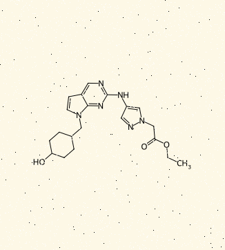 CCOC(=O)Cn1cc(Nc2ncc3ccn(CC4CCC(O)CC4)c3n2)cn1